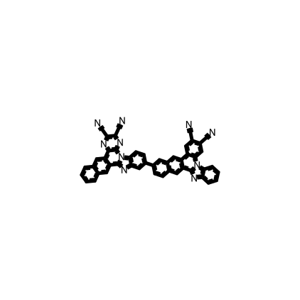 N#Cc1cc2c3cc4cc(-c5ccc6c(c5)nc5c7cc8ccccc8cc7c7nc(C#N)c(C#N)nc7n65)ccc4cc3c3nc4ccccc4n3c2cc1C#N